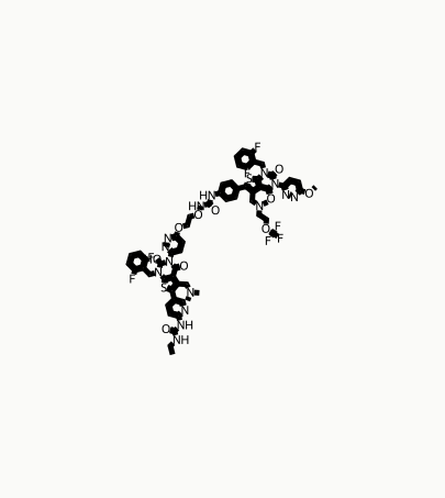 CCNC(=O)Nc1ccc(-c2sc3c(c2CN(C)C)C(=O)N(c2ccc(OCCONC(=O)Nc4ccc(-c5sc6c(c5CN(C)CCOC(F)(F)F)c(=O)n(-c5ccc(OC)nn5)c(=O)n6Cc5c(F)cccc5F)cc4)nn2)C(O)N3Cc2c(F)cccc2F)cn1